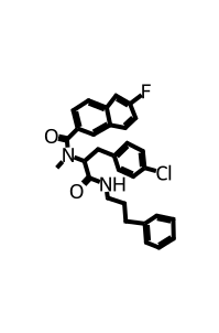 CN(C(=O)c1ccc2cc(F)ccc2c1)C(Cc1ccc(Cl)cc1)C(=O)NCCCc1ccccc1